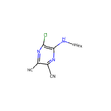 CCCCCCNc1nc(C#N)c(C#N)nc1Cl